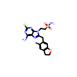 Nc1nc(F)nc2c1nc(Cc1cc3c(cc1I)CCO3)n2CCS(N)(=O)=O